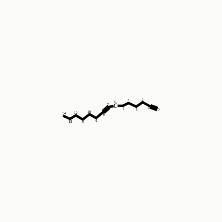 C#CCCCC[CH]C#CCCCCCC